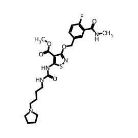 CNC(=O)c1cc(COc2nsc(NC(=O)NCCCCN3CCCC3)c2C(=O)OC)ccc1F